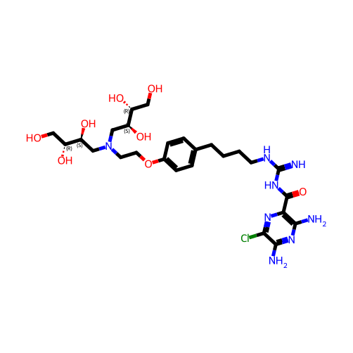 N=C(NCCCCc1ccc(OCCN(C[C@H](O)[C@H](O)CO)C[C@H](O)[C@H](O)CO)cc1)NC(=O)c1nc(Cl)c(N)nc1N